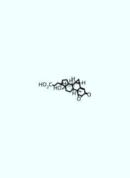 C[C@]12CC[C@H]3[C@@H]([C@H]4C[C@H]4C4=CC(=O)C5OC5[C@@]43C)[C@@H]1CC[C@@]2(O)CCC(=O)O